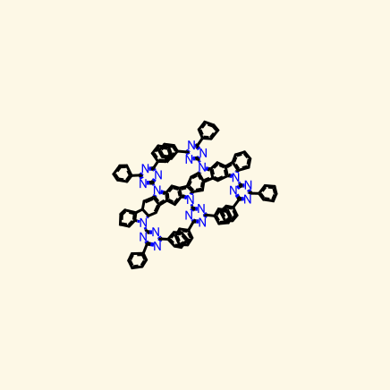 c1cccc(-c2nc(-c3ccccc3)nc(-n3c4c(c5cc6c(cc53)c3cc5c(cc3n6-c3nc(-c6ccccc6)nc(-c6ccccc6)n3)c3cc6c(cc3n5-c3nc(-c5ccccc5)nc(-c5ccccc5)n3)c3ccccc3n6-c3nc(-c5ccccc5)nc(-c5ccccc5)n3)=CC3C(C=4)c4ccccc4N3c3nc(-c4ccccc4)nc(-c4ccccc4)n3)n2)c#1